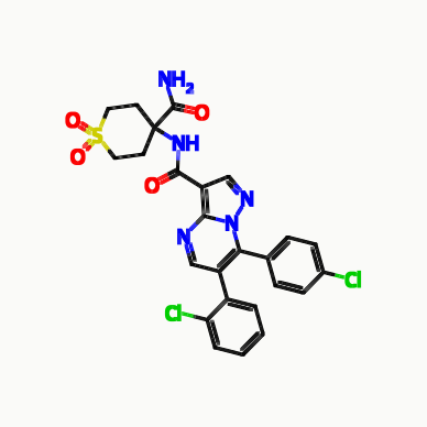 NC(=O)C1(NC(=O)c2cnn3c(-c4ccc(Cl)cc4)c(-c4ccccc4Cl)cnc23)CCS(=O)(=O)CC1